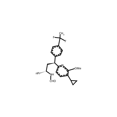 CCC[C@H](C[C@@H](c1ccc(C(C)(F)F)cc1)c1ccc(C2CC2)c(OC)n1)NC=O